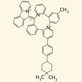 Cc1ccc2c(c1)-c1cccc[n+]1/C(=C1/c3ccccc3-c3cccc[n+]31)c1ccccc1-c1cc(-c3ccc(C4CCC(C)(C)CC4)cc3)cc[n+]1-2